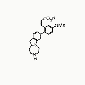 COc1ccc(-c2ccc3c(c2)N2CCNCCC2C3)c(/C=C\C(=O)O)c1